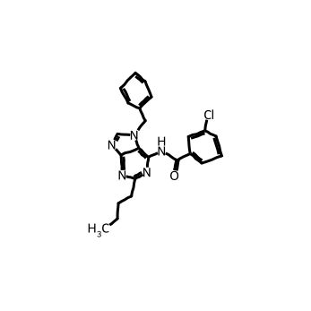 CCCCc1nc(NC(=O)c2cccc(Cl)c2)c2c(ncn2Cc2ccccc2)n1